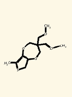 COCC1(COC)COC2=C(C)SCC2OC1